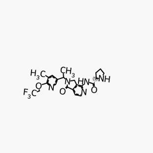 Cc1cc(C(C)N2Cc3c(ccnc3NC(=O)[C@@H]3CCCN3)C2=O)cnc1OCC(F)(F)F